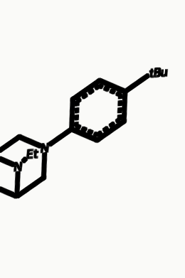 CCN1C2CC1CN(c1ccc(C(C)(C)C)cc1)C2